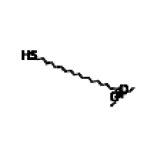 CCO[Si](C)(CCCCCCCCCCCCCCCCCCS)OCC